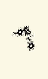 CC(C)c1ccc(-c2cnc3sc(NCCOc4ccccc4)nn23)cc1